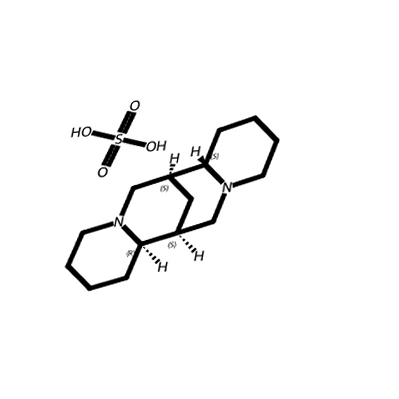 C1CCN2C[C@@H]3C[C@@H](CN4CCCC[C@@H]34)[C@H]2C1.O=S(=O)(O)O